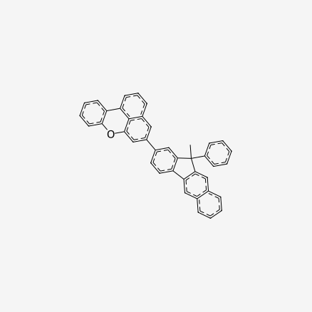 CC1(c2ccccc2)c2cc(-c3cc4c5c(cccc5c3)-c3ccccc3O4)ccc2-c2cc3ccccc3cc21